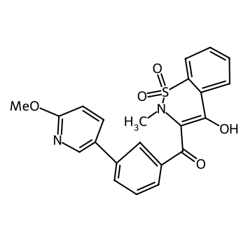 COc1ccc(-c2cccc(C(=O)C3=C(O)c4ccccc4S(=O)(=O)N3C)c2)cn1